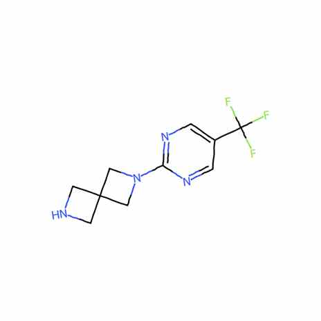 FC(F)(F)c1cnc(N2CC3(CNC3)C2)nc1